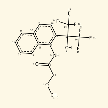 COCC(=O)Nc1c(C(O)(C(F)(F)F)C(F)(F)F)ccc2ccccc12